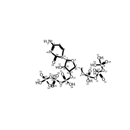 Nc1ccn([C@@H]2O[C@H](COP(=O)(O)OP(=O)(O)OP(=O)(O)O)[C@@H](OP(=O)(O)OP(=O)(O)OP(=O)(O)O)[C@H]2O)c(=O)n1